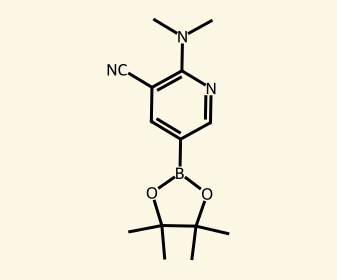 CN(C)c1ncc(B2OC(C)(C)C(C)(C)O2)cc1C#N